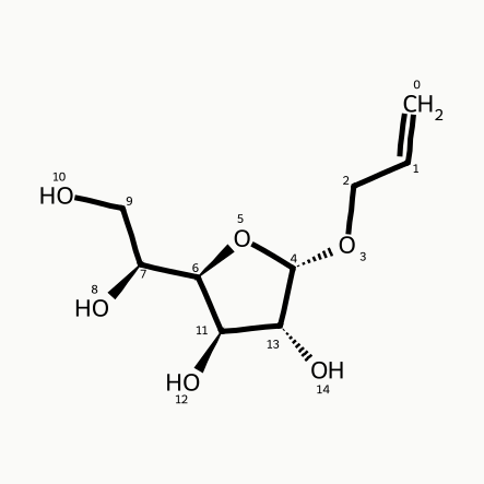 C=CCO[C@H]1O[C@H]([C@@H](O)CO)[C@H](O)[C@H]1O